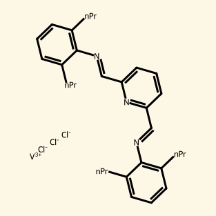 CCCc1cccc(CCC)c1N=Cc1cccc(C=Nc2c(CCC)cccc2CCC)n1.[Cl-].[Cl-].[Cl-].[V+3]